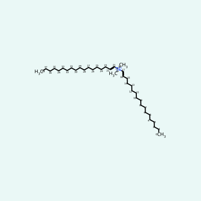 CCCCCCCCCCCCCCCC/C=C/[N+](C)(C)/C=C/CCCCCCCCCCCCCCCC